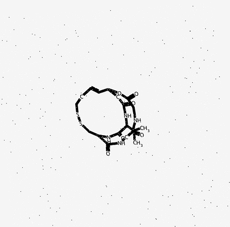 CC(C)C1NC(=O)CC2/C=C/CCSSCC(NC1=O)C(=O)NCC(=O)NCC(=O)O2